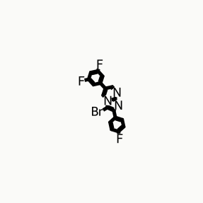 Fc1ccc(-c2nc3ncc(-c4cc(F)cc(F)c4)cn3c2Br)cc1